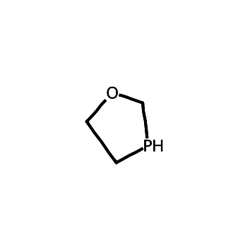 C1CPCO1